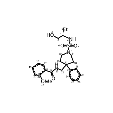 CC[C@@H](CO)NS(=O)(=O)N1CCC(CNC(=O)c2ccccc2OC)(c2ccccc2)CC1